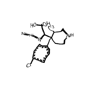 CC1CNCCC1(c1ccc(Cl)cc1)C(N=[N+]=[N-])C(=O)O